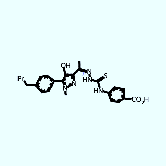 C/C(=N/NC(=S)Nc1ccc(C(=O)O)cc1)c1nn(C)c(-c2ccc(CC(C)C)cc2)c1O